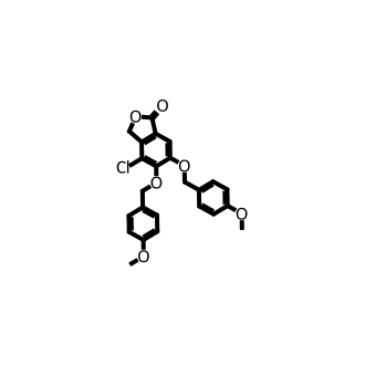 COc1ccc(COc2cc3c(c(Cl)c2OCc2ccc(OC)cc2)COC3=O)cc1